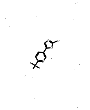 FC(F)(F)c1ccc(-c2cnc(Br)o2)cn1